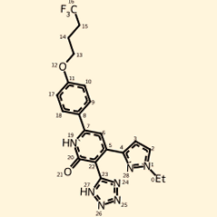 CCn1ccc(-c2cc(-c3ccc(OCCCC(F)(F)F)cc3)[nH]c(=O)c2-c2nnn[nH]2)n1